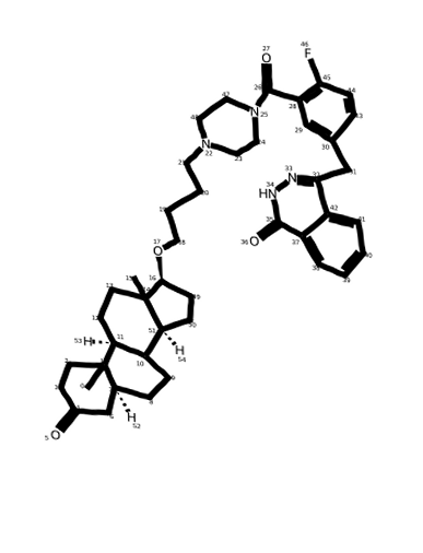 CC12CCC(=O)C[C@@H]1CCC1[C@@H]2CCC2(C)[C@@H](OCCCCN3CCN(C(=O)c4cc(Cc5n[nH]c(=O)c6ccccc56)ccc4F)CC3)CC[C@@H]12